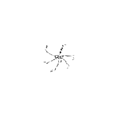 [CH3][Re]([CH3])([CH3])([CH3])([CH3])[CH3]